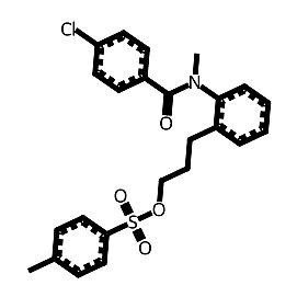 Cc1ccc(S(=O)(=O)OCCCc2ccccc2N(C)C(=O)c2ccc(Cl)cc2)cc1